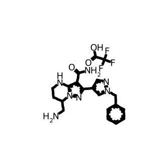 NCC1CCNc2c(C(N)=O)c(-c3cnn(Cc4ccccc4)c3)nn21.O=C(O)C(F)(F)F